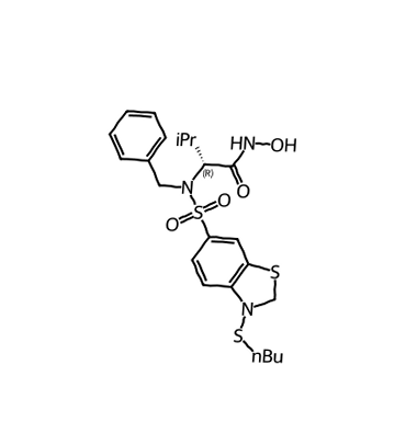 CCCCSN1CSc2cc(S(=O)(=O)N(Cc3ccccc3)[C@@H](C(=O)NO)C(C)C)ccc21